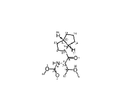 COC(=O)N[C@H](C(=O)N1CC[C@@H]2CCC[C@@H]21)C(C)OC